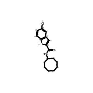 O=C(NC1CCCCCCC1)c1cc2cc(Cl)ccc2o1